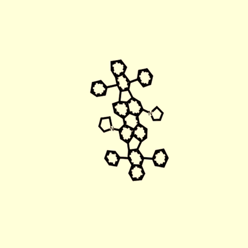 c1ccc(-c2c3c(c(-c4ccccc4)c4ccccc24)-c2cc(N4CCCC4)c4c5ccc6c7c(cc(N8CCCC8)c(c8ccc-3c2c84)c75)-c2c-6c(-c3ccccc3)c3ccccc3c2-c2ccccc2)cc1